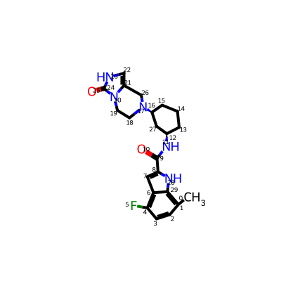 Cc1ccc(F)c2cc(C(=O)N[C@@H]3CCC[C@H](N4CCn5c(c[nH]c5=O)C4)C3)[nH]c12